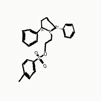 Cc1ccc(S(=O)(=O)OCCP2[C@@H](c3ccccc3)CC[C@@H]2c2ccccc2)cc1